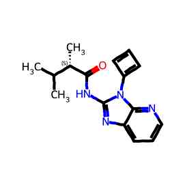 CC(C)[C@H](C)C(=O)Nc1nc2cccnc2n1C1=CC=C1